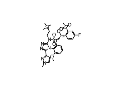 COc1cccc(OC)c1-n1c(-c2ccn(C)n2)nnc1N(CC[Si](C)(C)C)S(=O)(=O)C[C@@H](OC)c1ccc(F)cc1S(C)(=O)=O